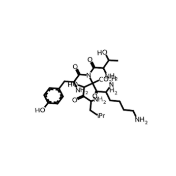 CC(C)CC(N)C(=O)C(O)C(C(=O)O)(C(=O)C(N)CCCCN)N(C(=O)C(N)Cc1ccc(O)cc1)C(=O)C(N)C(C)O